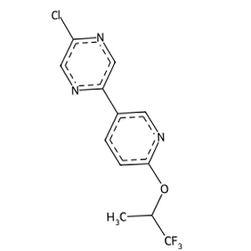 CC(Oc1ccc(-c2cnc(Cl)cn2)cn1)C(F)(F)F